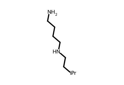 CC(C)CCNCCCCN